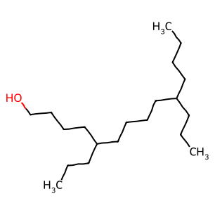 CCCCC(CCC)CCCCC(CCC)CCCCO